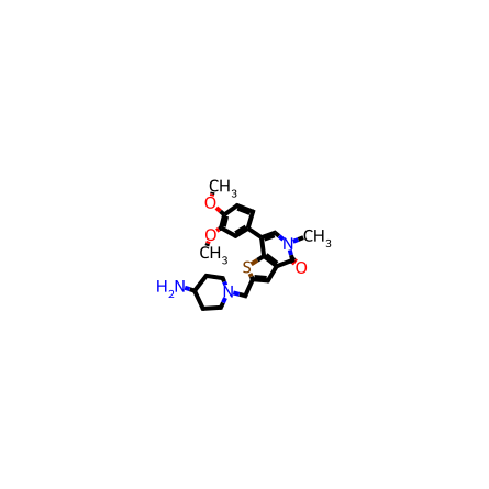 COc1ccc(-c2cn(C)c(=O)c3cc(CN4CCC(N)CC4)sc23)cc1OC